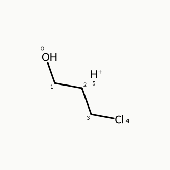 OCCCCl.[H+]